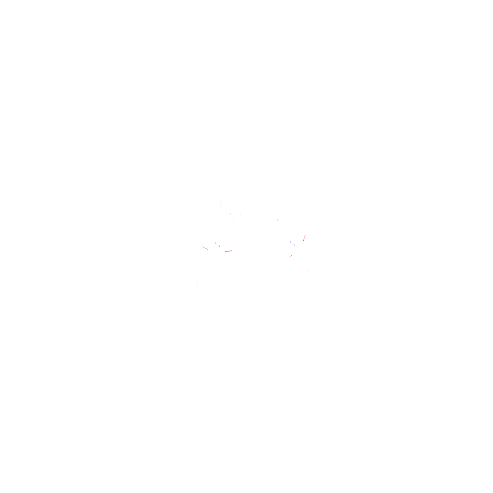 CCSC1CC(=O)N(CCC(C)(C)OCCC(C)(C)OCCN2C(=O)CC(SCC(C)C)C2=O)C1=O